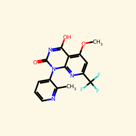 COc1cc(C(F)(F)F)nc2c1c(O)nc(=O)n2-c1cccnc1C